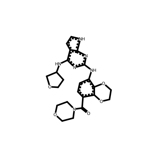 O=C(c1ccc(Nc2nc(NC3CCOC3)c3cc[nH]c3n2)c2c1OCCO2)N1CCOCC1